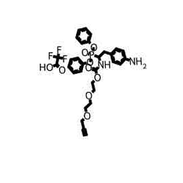 C#CCOCCOCCOC(=O)NC(Cc1ccc(N)cc1)P(=O)(Oc1ccccc1)Oc1ccccc1.O=C(O)C(F)(F)F